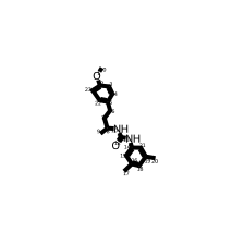 COc1ccc(CCC(C)NC(=O)Nc2cc(C)cc(C)c2)cc1